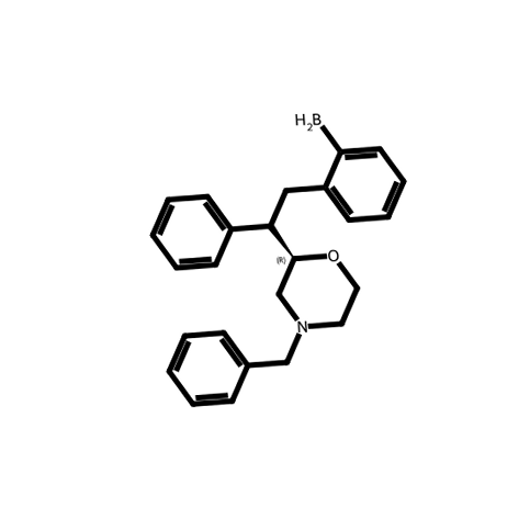 Bc1ccccc1CC(c1ccccc1)[C@@H]1CN(Cc2ccccc2)CCO1